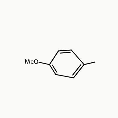 [CH2]Oc1ccc(C)cc1